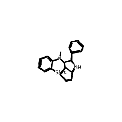 CSc1ccccc1N(C)C1C(c2ccccc2)NC2CCCC21